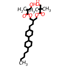 C=C(CO)C(=O)OCC(CCC1CCC(C2CCC(CCCCC)CC2)CC1)COC(=O)C(C)(C)CO